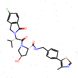 Cc1ncsc1-c1ccc(CNC(=O)[C@@H]2C[C@@H](O)CN2C(=O)[C@H](C(C)C)N2Cc3cc(F)ccc3C2=O)cc1